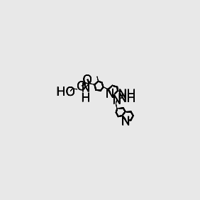 Cc1cc(-c2ccc3c(n2)N(Cc2ccc4ncccc4c2)NN3)ccc1C(=O)NOCCO